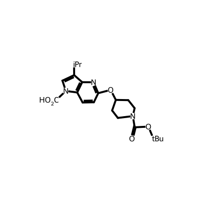 CC(C)c1cn(C(=O)O)c2ccc(OC3CCN(C(=O)OC(C)(C)C)CC3)nc12